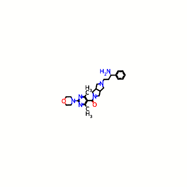 Cc1nc(N2CCOCC2)nc(C)c1C(=O)N1CC2CN(CC[C@H](N)c3ccccc3)CC2C1